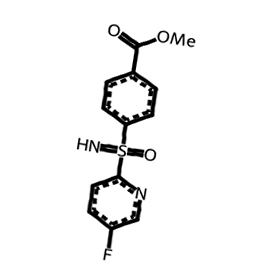 COC(=O)c1ccc(S(=N)(=O)c2ccc(F)cn2)cc1